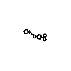 COC(=O)c1ccc(OCCCN2CCCCC2)cc1